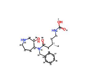 C[C@@H](CCNC(=O)O)CC(=O)N(Cc1ccccc1)C1CCCNCC1O